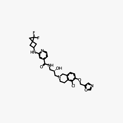 O=C(NC[C@H](O)CN1CCc2c(ccc(OCc3cnco3)c2Cl)C1)c1ccnc(NC2CC3(C2)CC3(F)F)c1